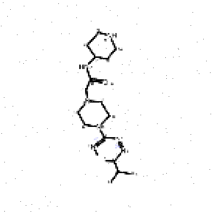 C/N=C(\N=N/C(C)C(C)F)N1CCN(CC(=O)NC2CCNCC2)CC1